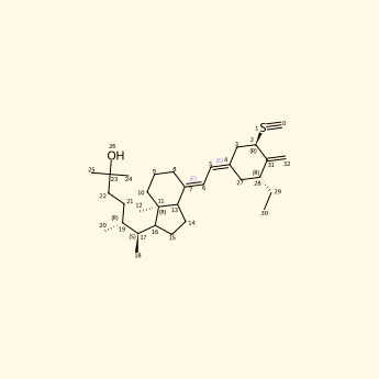 C#S[C@@H]1C/C(=C/C=C2\CCC[C@@]3(C)C2CCC3[C@@H](C)[C@H](C)CCC(C)(C)O)C[C@@H](CC)C1=C